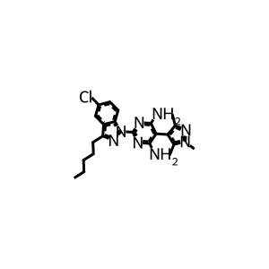 CCCCCc1nn(-c2nc(N)c(-c3c(C)nn(C)c3C)c(N)n2)c2ccc(Cl)cc12